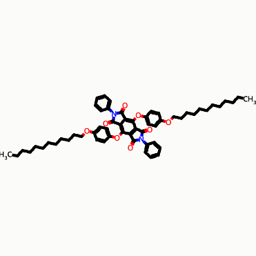 CCCCCCCCCCCCOc1ccc(Oc2c3c(=O)n(-c4ccccc4)c(=O)c3c(Oc3ccc(OCCCCCCCCCCCC)cc3)c3c(=O)n(-c4ccccc4)c(=O)c23)cc1